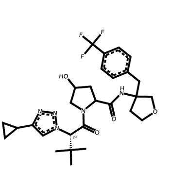 CC(C)(C)[C@@H](C(=O)N1CC(O)CC1C(=O)NC1(Cc2ccc(C(F)(F)F)cc2)CCOC1)n1cc(C2CC2)nn1